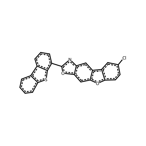 Clc1ccc2oc3cc4oc(-c5cccc6c5sc5ccccc56)nc4cc3c2c1